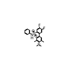 Cc1cc(-c2cc(F)c(F)cc2S(=O)(=O)Nc2ccccc2)cc(C)c1N(C)C